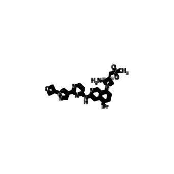 CC(C)c1ccc(N2C[C@H](CS(C)(=O)=O)[C@H]2N)c2cnc(Nc3ccnc(-c4cnn(C5COC5)c4)n3)cc12